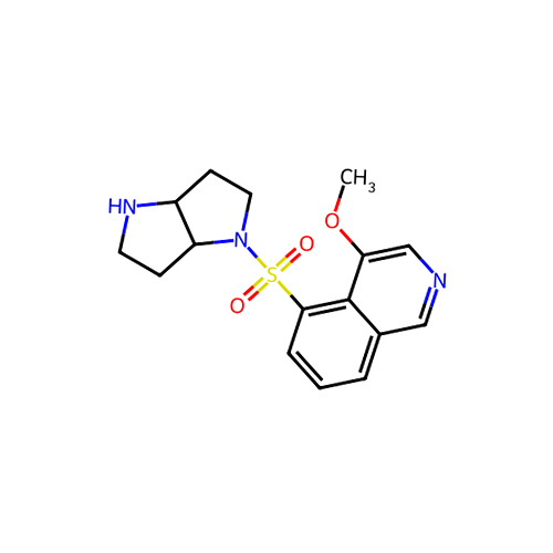 COc1cncc2cccc(S(=O)(=O)N3CCC4NCCC43)c12